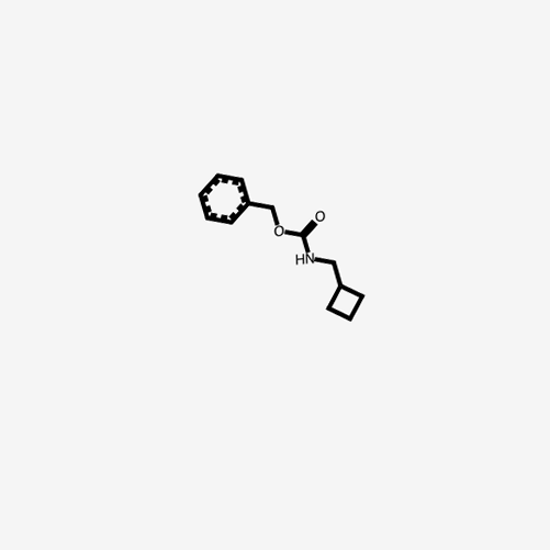 O=C(NCC1CCC1)OCc1ccccc1